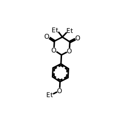 CCOc1ccc(C2OC(=O)C(CC)(CC)C(=O)O2)cc1